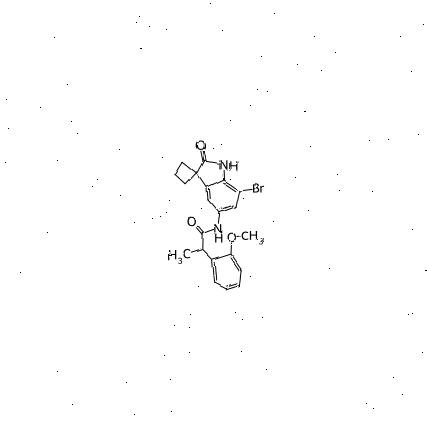 COc1ccccc1C(C)C(=O)Nc1cc(Br)c2c(c1)C1(CCC1)C(=O)N2